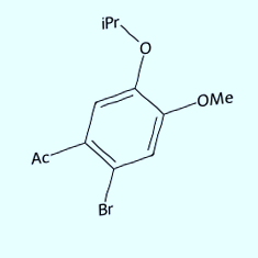 COc1cc(Br)c(C(C)=O)cc1OC(C)C